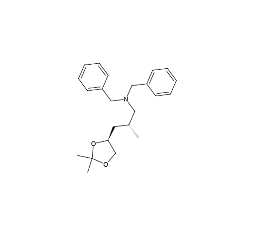 C[C@H](C[C@H]1COC(C)(C)O1)CN(Cc1ccccc1)Cc1ccccc1